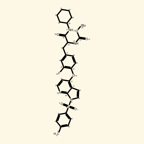 Cc1ccc(S(=O)(=O)n2ccc3c(Oc4ccc(CC(NC(=O)OC(C)(C)C)C(=O)NC5CCCCC5)cc4F)ccnc32)cc1